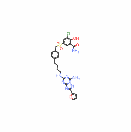 NC(=O)c1cc(S(=O)(=O)Cc2ccc(CCCCNc3nc(N)n4nc(-c5ccco5)nc4n3)cc2)cc(Cl)c1O